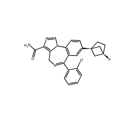 NC(=O)c1ncn2c1CN=C(c1ccccc1Cl)c1cc([C@]34CC[C@H](C3)C4)ccc1-2